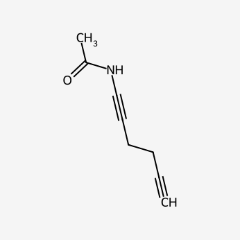 C#CCCC#CNC(C)=O